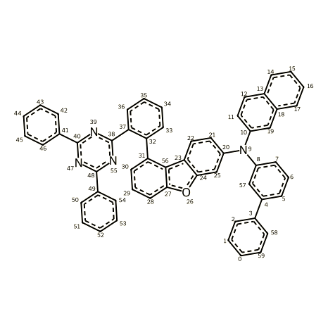 c1ccc(-c2cccc(N(c3ccc4ccccc4c3)c3ccc4c(c3)oc3cccc(-c5ccccc5-c5nc(-c6ccccc6)nc(-c6ccccc6)n5)c34)c2)cc1